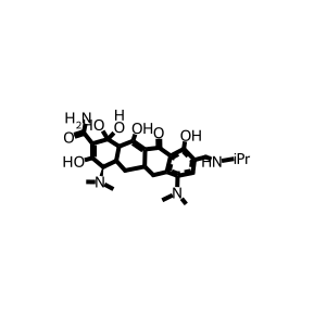 CC(C)NCc1cc(N(C)C)c2c(c1O)C(=O)C1=C(O)C3C(CC1C2)[C@@H](N(C)C)C(O)=C(C(N)=O)C3(O)O